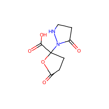 O=C1CCC(C(=O)O)(N2NCCC2=O)O1